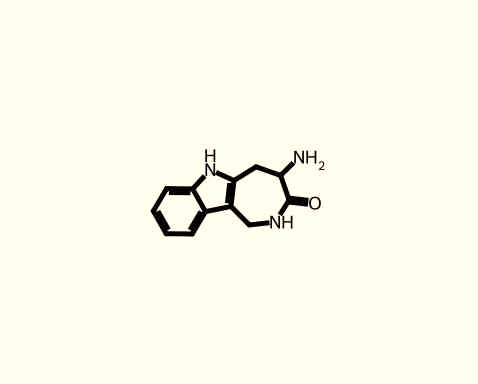 NC1Cc2[nH]c3ccccc3c2CNC1=O